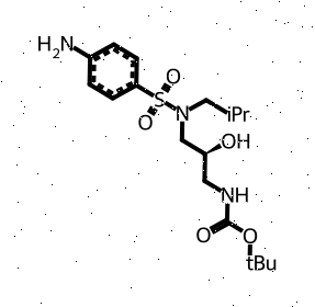 CC(C)CN(C[C@@H](O)CNC(=O)OC(C)(C)C)S(=O)(=O)c1ccc(N)cc1